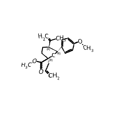 C=CC[C@]1(C(=O)OC)CC[C@@H](C(=C)C)[C@H](c2ccc(OC)cc2)C1